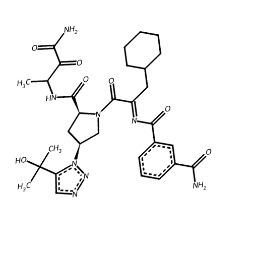 CC(NC(=O)[C@@H]1C[C@H](n2nncc2C(C)(C)O)CN1C(=O)/C(CC1CCCCC1)=N/C(=O)c1cccc(C(N)=O)c1)C(=O)C(N)=O